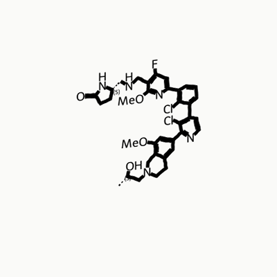 COc1cc(-c2nccc(-c3cccc(-c4cc(F)c(CNC[C@@H]5CCC(=O)N5)c(OC)n4)c3Cl)c2Cl)cc2c1CN(C[C@H](C)O)CC2